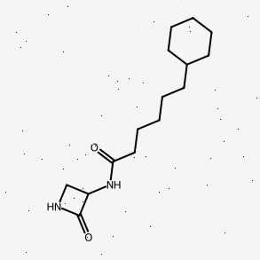 O=C(CCCCCC1CCCCC1)NC1CNC1=O